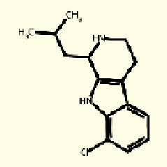 CC(C)CC1NCCc2c1[nH]c1c(Cl)cccc21